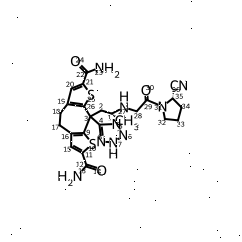 C[C@H](CC1(c2nn[nH]n2)c2sc(C(N)=O)cc2CCc2cc(C(N)=O)sc21)NCC(=O)N1CCC[C@H]1C#N